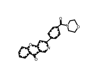 O=C(c1ccc(-c2cc3oc4ccccc4c(=O)c3cn2)cc1)N1CCOCC1